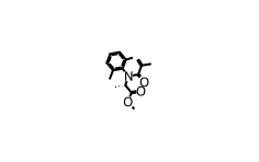 C=C(C)C(=O)N(c1c(C)cccc1C)[C@@H](C)C(=O)OC